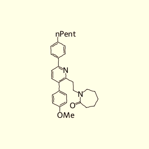 CCCCCc1ccc(-c2ccc(-c3ccc(OC)cc3)c(CCN3CCCCCC3=O)n2)cc1